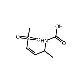 CC(/C=C\S(C)(=O)=O)NC(=O)O